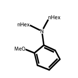 CCCCCCN(CCCCCC)c1ccccc1OC